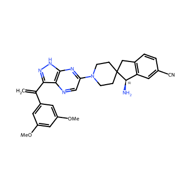 C=C(c1cc(OC)cc(OC)c1)c1n[nH]c2nc(N3CCC4(CC3)Cc3ccc(C#N)cc3[C@H]4N)cnc12